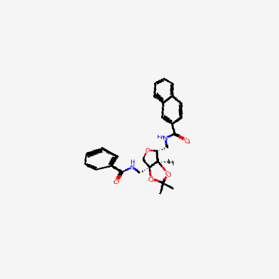 CC1(C)O[C@@H]2[C@@H](CNC(=O)c3ccc4ccccc4c3)OC[C@]2(CNC(=O)c2ccccc2)O1